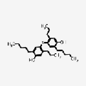 CCCCCc1cc(Sc2cc(CCCCC)c(O)cc2CCC)c(CCC)cc1O